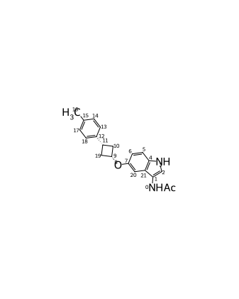 CC(=O)Nc1c[nH]c2ccc(O[C@H]3C[C@@H](c4ccc(C)cc4)C3)cc12